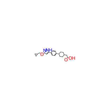 O=C(O)CC1CCC(c2ccc(-c3cc(OCC4CC4)n[nH]3)cc2)CC1